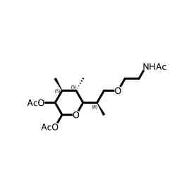 CC(=O)NCCOC[C@@H](C)C1OC(OC(C)=O)C(OC(C)=O)[C@@H](C)[C@@H]1C